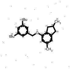 Cc1cc2c(c(OCc3cc(C(C)(C)C)cc(C(C)(C)C)c3)c1)CC(C)C2